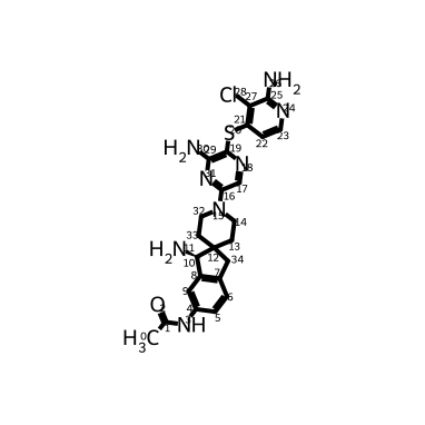 CC(=O)Nc1ccc2c(c1)[C@@H](N)C1(CCN(c3cnc(Sc4ccnc(N)c4Cl)c(N)n3)CC1)C2